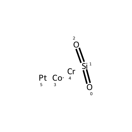 O=[Si]=O.[Co].[Cr].[Pt]